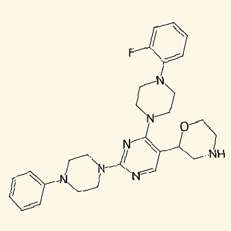 Fc1ccccc1N1CCN(c2nc(N3CCN(c4ccccc4)CC3)ncc2C2CNCCO2)CC1